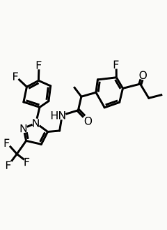 CCC(=O)c1ccc(C(C)C(=O)NCc2cc(C(F)(F)F)nn2-c2ccc(F)c(F)c2)cc1F